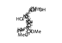 COc1cc(OC)cc(N(CCNC(C)C)c2ccc3ncc(-c4cnn(CCCN5CCN(CCCO)CC5)c4)nc3c2)c1.Cl